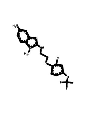 Cn1c(NCCOc2ccc(OC(F)(F)F)cc2Cl)nc2cc(N)ccc21